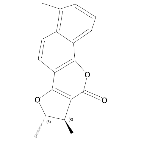 Cc1cccc2c1ccc1c3c(c(=O)oc12)[C@@H](C)[C@H](C)O3